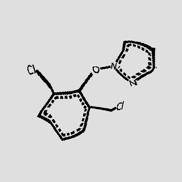 Clc1cccc(Cl)c1On1cc[c]n1